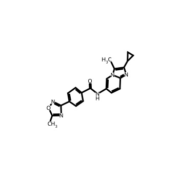 Cc1nc(-c2ccc(C(=O)Nc3ccc4nc(C5CC5)c(C)n4c3)cc2)no1